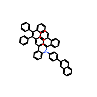 c1ccc(-c2c(-c3ccccc3)c3cc(-c4ccccc4N(c4ccc(-c5ccc6ccccc6c5)cc4)c4cc5ccccc5c5ccccc45)ccc3c3ccccc23)cc1